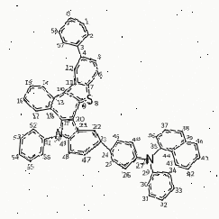 c1ccc(-c2ccc3sc4c(c3c2)c2ccccc2c2c4c3cc(-c4ccc(N(c5ccccc5)c5cccc6ccccc56)cc4)ccc3n2-c2ccccc2)cc1